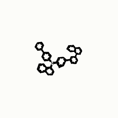 c1ccc(-c2ccc(N(c3ccc(-c4cccc(-c5cccc6ccccc56)c4)cc3)c3cccc4ccccc34)cc2)cc1